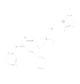 CC(C)[C@H]1C(=O)N(CC(=O)N[C@@H](Cc2ccccc2)C(=O)C(=O)O)C(c2ccccc2)=CN1C(=O)c1cccnc1